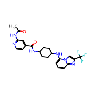 CC(=O)Nc1cc(C(=O)NC2CCC(Nc3cccc4nc(C(F)(F)F)cn34)CC2)ccn1